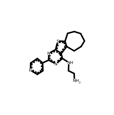 NCCNc1nc(-c2ccncc2)nc2sc3c(c12)CCCCCC3